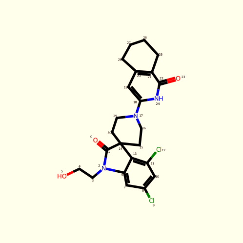 O=C1N(CCO)c2cc(Cl)cc(Cl)c2C12CCN(c1cc3c(c(=O)[nH]1)CCCC3)CC2